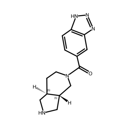 O=C(c1ccc2[nH]nnc2c1)N1CC[C@@H]2CNC[C@H]2C1